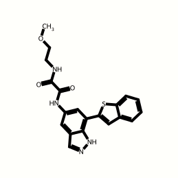 COCCNC(=O)C(=O)Nc1cc(-c2cc3ccccc3s2)c2[nH]ncc2c1